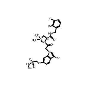 CC(=O)c1cn(CC(=O)N2C[Si](C)(C)C[C@H]2C(=O)NCc2cccc(Cl)c2F)c2cc(OCS(=O)(=O)NC(C)(C)C)ccc12